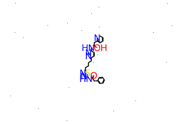 O=C(Cc1ccccc1)Nc1nnc(CCCCc2ccc(NC(O)Cc3ccccn3)nn2)s1